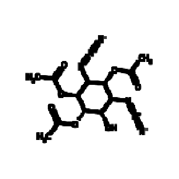 CC(=O)O[C@H]1C(N=[N+]=[N-])[C@@H](O)[C@H](OC(C)=O)[C@@H](OC(C)=O)C1N=[N+]=[N-]